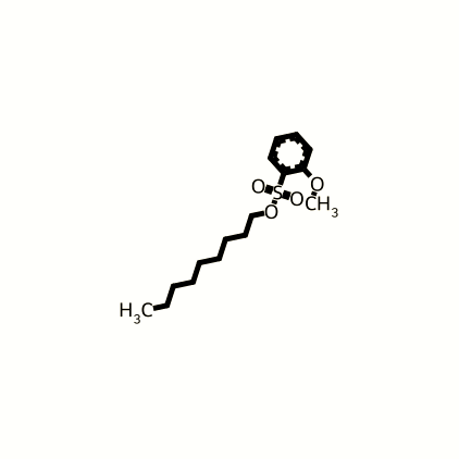 CCCCCCCCCOS(=O)(=O)c1ccccc1OC